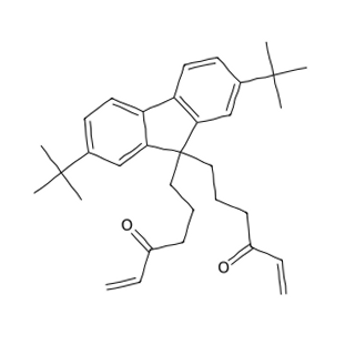 C=CC(=O)CCCC1(CCCC(=O)C=C)c2cc(C(C)(C)C)ccc2-c2ccc(C(C)(C)C)cc21